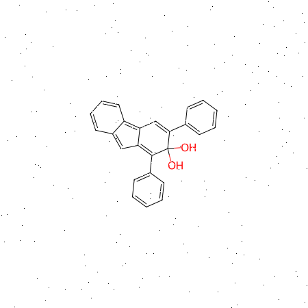 OC1(O)C(c2ccccc2)=CC2=c3ccccc3=CC2=C1c1ccccc1